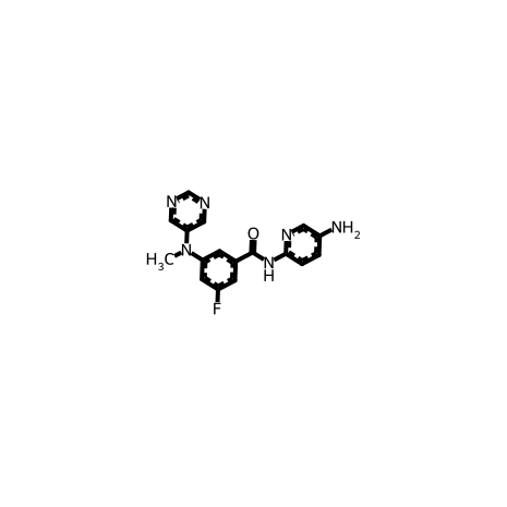 CN(c1cncnc1)c1cc(F)cc(C(=O)Nc2ccc(N)cn2)c1